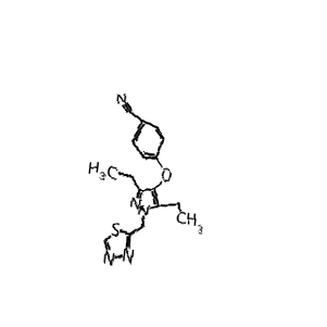 CCc1nn(Cc2nncs2)c(CC)c1Oc1ccc(C#N)cc1